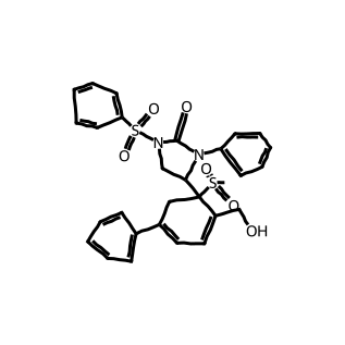 CS(=O)(=O)C1(C2CN(S(=O)(=O)c3ccccc3)C(=O)N2c2ccccc2)CC(c2ccccc2)=CC=C1CO